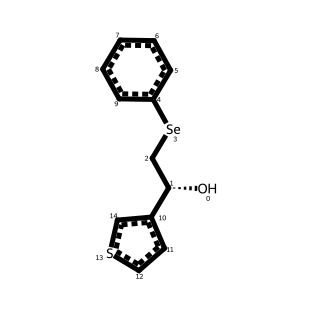 O[C@@H](C[Se]c1ccccc1)c1ccsc1